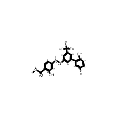 COC(=O)c1ccc(NSc2cc(-c3cc(F)ccc3F)cc(C(F)(F)F)c2)cc1O